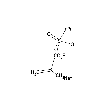 C=C(C)C(=O)OCC.CCCS(=O)(=O)[O-].[Na+]